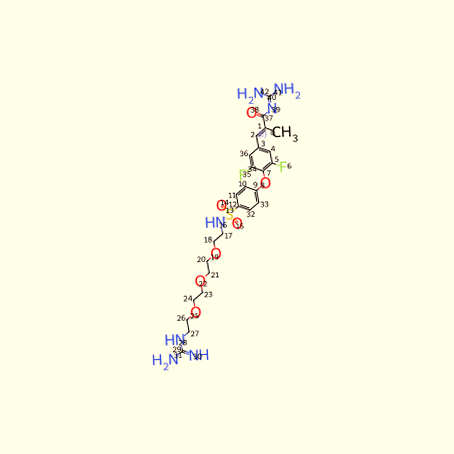 C/C(=C\c1cc(F)c(Oc2ccc(S(=O)(=O)NCCOCCOCCOCCNC(=N)N)cc2)c(F)c1)C(=O)N=C(N)N